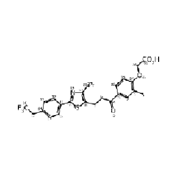 Cc1cc(C(=O)CCc2sc(-c3ccc(CC(F)(F)F)cc3)nc2C(C)C)ccc1OCC(=O)O